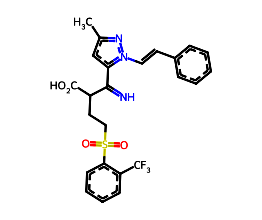 Cc1cc(C(=N)C(CCS(=O)(=O)c2ccccc2C(F)(F)F)C(=O)O)n(C=Cc2ccccc2)n1